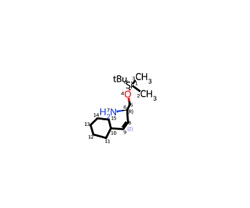 CC(C)(C)[Si](C)(C)OC[C@H](N)/C=C\C1CCCCC1